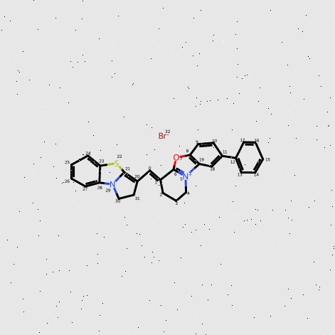 C(=C1CCC[n+]2c1oc1ccc(-c3ccccc3)cc12)C1=C2Sc3ccccc3N2CC1.[Br-]